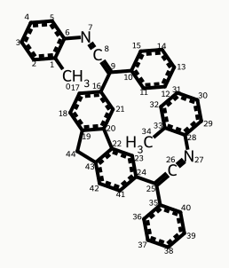 Cc1ccccc1N=C=C(c1ccccc1)c1ccc2c(c1)-c1cc(C(=C=Nc3ccccc3C)c3ccccc3)ccc1C2